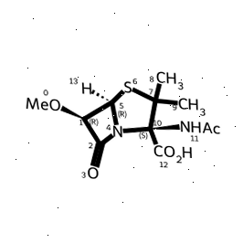 CO[C@@H]1C(=O)N2[C@@H]1SC(C)(C)[C@]2(NC(C)=O)C(=O)O